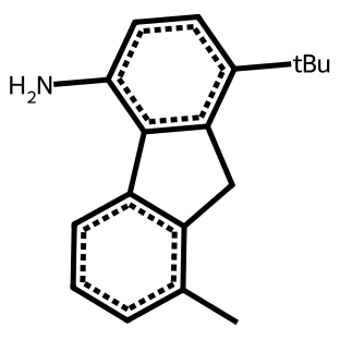 Cc1cccc2c1Cc1c(C(C)(C)C)ccc(N)c1-2